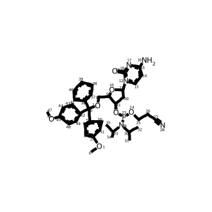 COc1ccc(C(OCC2OC(n3ccc(N)nc3=O)CC2OP(OCCC#N)N(C(C)C)C(C)C)(c2ccccc2)c2ccc(OC)cc2)cc1